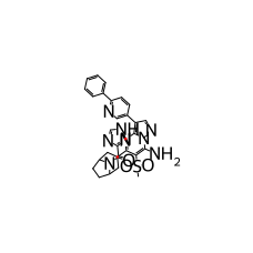 CS(=O)(=O)c1c(C2CC3CCC(C2)N3C(=O)c2nc[nH]n2)nc2c(-c3ccc(-c4ccccc4)nc3)cnn2c1N